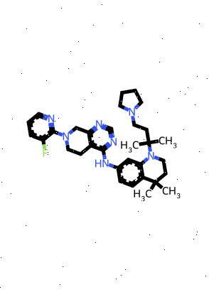 CC1(C)CCN(C(C)(C)CCN2CCCC2)c2cc(Nc3ncnc4c3CCN(c3ncccc3F)C4)ccc21